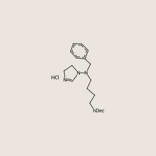 CCCCCCCCCCCCCCN(Cc1ccccc1)N1C=NCC1.Cl